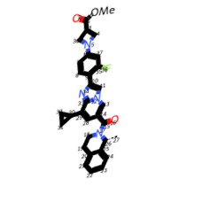 COC(=O)C1CN(c2ccc(-c3cn4cc(C(=O)N5CCc6ccccc6[C@H]5C)cc(C5CC5)c4n3)c(F)c2)C1